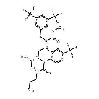 CCCOC(=O)N1c2ccc(C(F)(F)F)cc2[C@@H](N(Cc2cc(C(F)(F)F)cc(C(F)(F)F)c2)C(=O)OC)C[C@H]1C(C)C